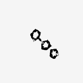 c1ccsc1.c1csc(-n2cccc2)c1